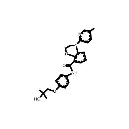 Cc1ccc(N2CCOc3c(C(=O)Nc4ccc(OCC(C)(C)O)cc4)cccc32)nc1